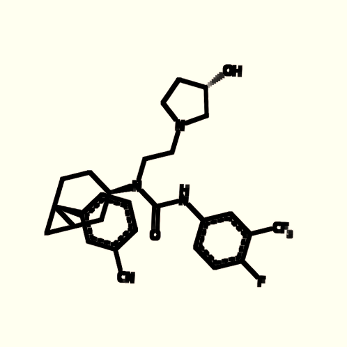 N#Cc1cccc([C@@]23CC[C@@H](N(CCN4CC[C@H](O)C4)C(=O)Nc4ccc(F)c(C(F)(F)F)c4)CC2C3)c1